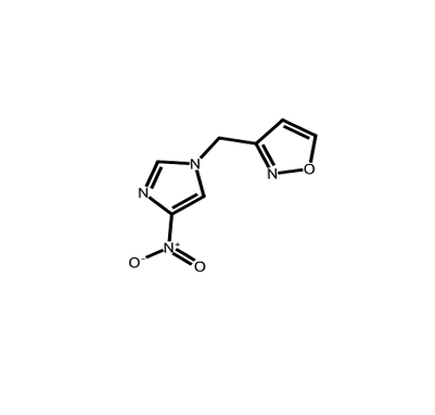 O=[N+]([O-])c1cn(Cc2ccon2)cn1